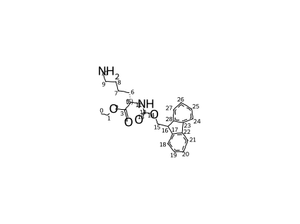 CCOC(=O)[C@H](CCCCN)NC(=O)OCC1c2ccccc2-c2ccccc21